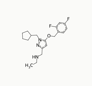 CCNCc1cc(OCc2ccc(F)cc2F)n(CC2CCCC2)n1